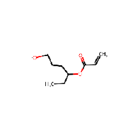 C=CC(=O)OC(CC)CCC[O]